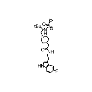 CC(C)(C)C(CN1CCC(CC(=O)NCCc2c[nH]c3ccc(F)cc23)CC1)NS(=O)(=O)C1CC1